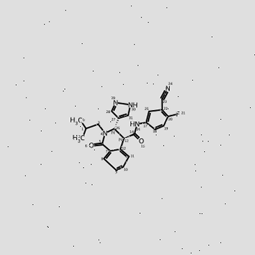 CC(C)CN1C(=O)c2ccccc2[C@H](C(=O)Nc2ccc(F)c(C#N)c2)[C@H]1c1cn[nH]c1